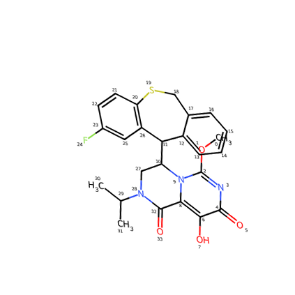 COc1nc(=O)c(O)c2n1C(C1c3ccccc3CSc3ccc(F)cc31)CN(C(C)C)C2=O